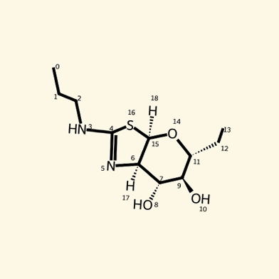 CCCNC1=N[C@@H]2[C@@H](O)[C@H](O)[C@@H](CC)O[C@@H]2S1